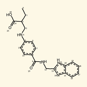 CCC(CNc1ccc(C(=O)NCc2nc3ccccc3[nH]2)cc1)C(=O)O